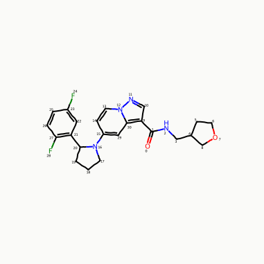 O=C(NCC1CCOC1)c1cnn2ccc(N3CCCC3c3cc(F)ccc3F)cc12